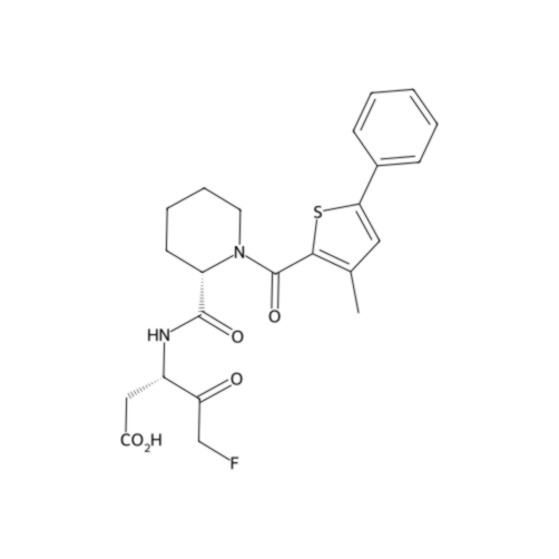 Cc1cc(-c2ccccc2)sc1C(=O)N1CCCC[C@H]1C(=O)N[C@@H](CC(=O)O)C(=O)CF